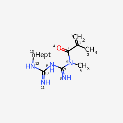 C=C(C)C(=O)N(C)C(=N)NC(=N)NCCCCCCC